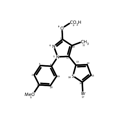 COc1ccc(-n2nc(OC(=O)O)c(C)c2-c2ccc(Br)s2)cc1